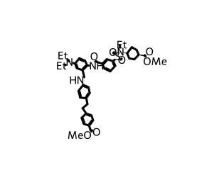 CCN(CC)c1ccc(NC(=O)c2cccc(S(=O)(=O)N(CC)[C@H]3CC[C@H](C(=O)OC)CC3)c2)c(CNc2ccc(CCc3ccc(C(=O)OC)cc3)cc2)c1